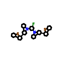 Fc1cc(-n2c3ccccc3c3cc(-c4cccc5c4sc4ccccc45)ccc32)cc(-n2c3ccccc3c3cc(-c4cccc5c4sc4ccccc45)ccc32)c1